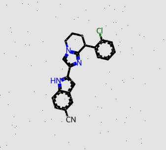 N#Cc1ccc2[nH]c(-c3cn4c(n3)C(c3ccccc3Cl)CCC4)cc2c1